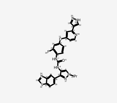 CC(C)n1cc(NC(=O)Nc2ccc(Oc3ccnc(-c4cn[nH]c4)c3)cc2F)c(-c2ccc3scnc3c2)n1